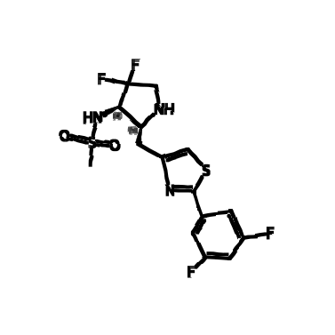 CS(=O)(=O)N[C@@H]1[C@H](Cc2csc(-c3cc(F)cc(F)c3)n2)NCC1(F)F